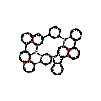 c1ccc(-c2ccccc2N(c2cccc(-c3cccc(N(c4ccccc4-c4ccccc4)c4ccccc4-c4ccccc4)c3)c2)c2ccc3c(c2)sc2ccccc23)cc1